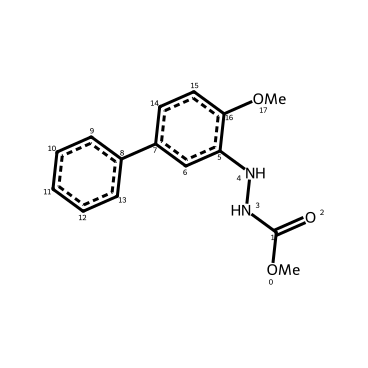 COC(=O)NNc1cc(-c2ccccc2)ccc1OC